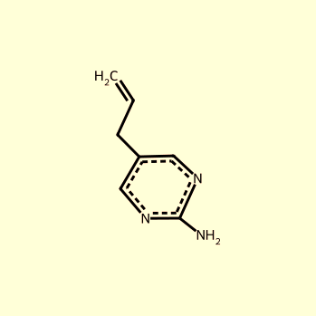 C=CCc1cnc(N)nc1